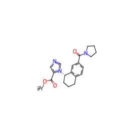 CC(C)OC(=O)c1cncn1[C@H]1CCCc2ccc(C(=O)N3CCCC3)cc21